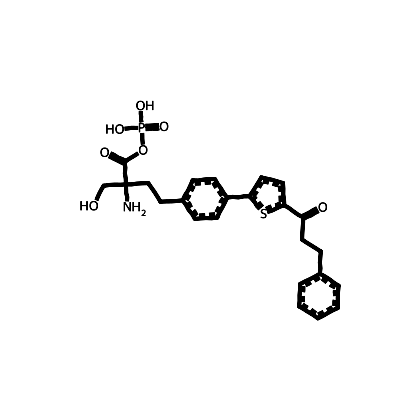 NC(CO)(CCc1ccc(-c2ccc(C(=O)CCc3ccccc3)s2)cc1)C(=O)OP(=O)(O)O